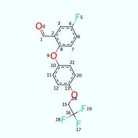 O=Cc1cc(F)ccc1Oc1ccc(OCC(F)(F)F)cc1